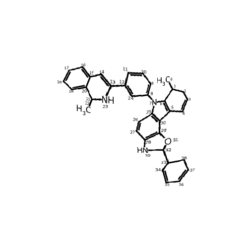 CC1CC=Cc2c1n(-c1cccc(C3=Cc4ccccc4C(C)N3)c1)c1ccc3c(c21)OC(C1C=CC=CC1)N3